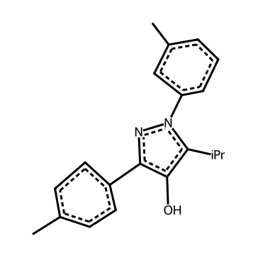 Cc1ccc(-c2nn(-c3cccc(C)c3)c(C(C)C)c2O)cc1